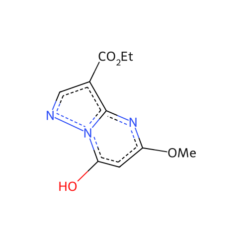 CCOC(=O)c1cnn2c(O)cc(OC)nc12